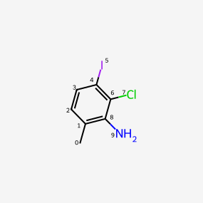 Cc1ccc(I)c(Cl)c1N